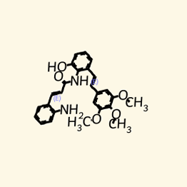 COc1cc(/C=C/c2cccc(O)c2NC(=O)/C=C/c2ccccc2N)cc(OC)c1OC